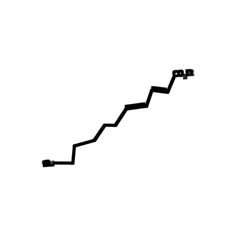 CCOC(=O)/C=C/C=C/CCCCCC(C)(C)C